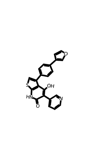 O=c1[nH]c2scc(-c3ccc(-c4ccoc4)cc3)c2c(O)c1-c1cccnc1